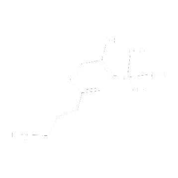 CCCCCCCC[PH](CCCCCCCC)(CCCCCCCC)c1cc(CCCC(=O)O)ccc1O